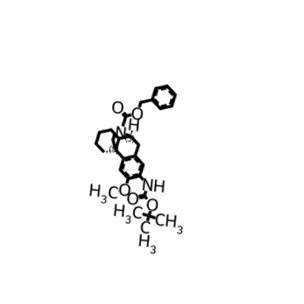 COc1cc2c(cc1NC(=O)OC(C)(C)C)C[C@H]1C3CCCC[C@@]23CCN1C(=O)OCc1ccccc1